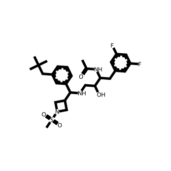 CC(=O)NC(Cc1cc(F)cc(F)c1)C(O)CNC(c1cccc(CC(C)(C)C)c1)C1CN(S(C)(=O)=O)C1